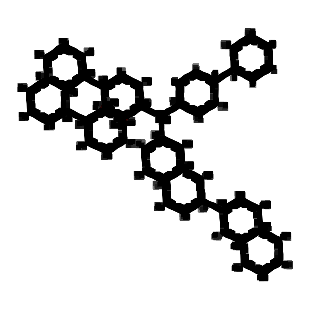 c1ccc(-c2ccc(N(c3ccc(-c4cccc5cccc(-c6ccccc6)c45)cc3)c3ccc4ccc(-c5ccc6ccccc6c5)cc4c3)cc2)cc1